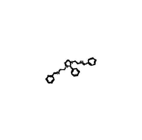 C(=N\CCN1CCN(CC/[As]=C/c2ccccc2)C1c1ccccc1)/c1ccccc1